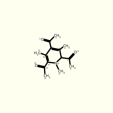 CC(=O)C1=C(C)C(C(C)=O)N(C)C(C(C)=O)=C1C